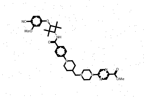 COC(=O)c1cnc(N2CCN(CC3CCN(c4ccc(C(=O)N[C@H]5C(C)(C)[C@H](Oc6ccc(C#N)c(OC)c6)C5(C)C)cc4)CC3)CC2)cn1